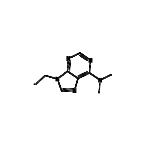 [CH2]Cn1cnc2c(N(C)C)ncnc21